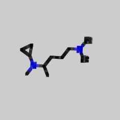 CCN(CC)CCCC(C)N(C)C1CC1